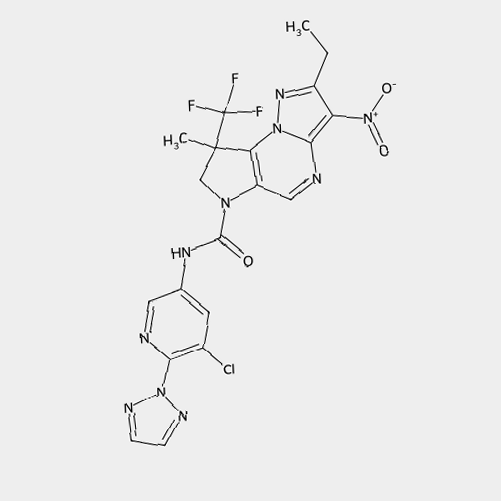 CCc1nn2c3c(cnc2c1[N+](=O)[O-])N(C(=O)Nc1cnc(-n2nccn2)c(Cl)c1)CC3(C)C(F)(F)F